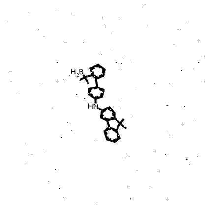 BC(C)(C)c1ccccc1-c1ccc(Nc2ccc3c(c2)-c2ccccc2C3(C)C)cc1